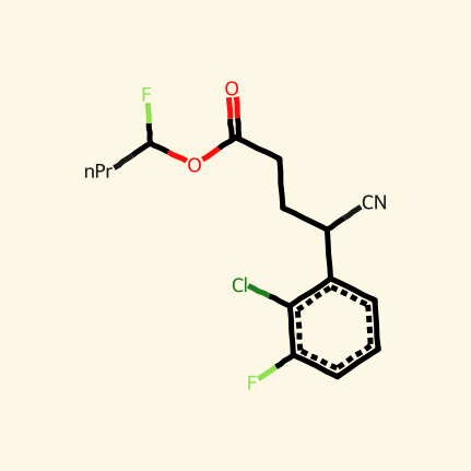 CCCC(F)OC(=O)CCC(C#N)c1cccc(F)c1Cl